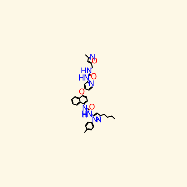 CCCCc1cc(NC(=O)Nc2ccc(Oc3ccnc(NC(=O)NCc4cc(C)no4)c3)c3ccccc23)n(-c2ccc(C)cc2)n1